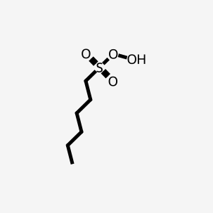 CCCCCCS(=O)(=O)OO